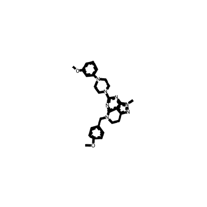 COc1ccc(CN2CCc3nn(C)c4nc(N5CCN(c6cccc(OC)c6)CC5)nc2c34)cc1